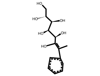 CC(=C(O)[C@H](O)[C@@H](O)[C@H](O)[C@H](O)CO)c1ccccc1